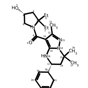 CCC1(CC)C[C@@H](O)CN1C(=O)c1c(C)nn2c1N[C@@H](C1C=CC=CC1)CC2(C)C